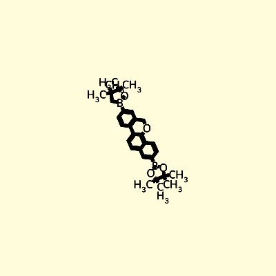 CC1(C)CB(c2ccc3c(c2)COc2c-3ccc3cc(B4OC(C)(C)C(C)(C)O4)ccc23)OC1(C)C